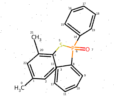 Cc1ccc(SP(=O)(c2ccccc2)c2ccccc2)c(C)c1